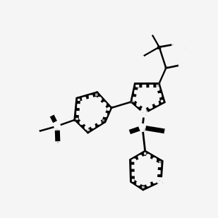 C[C](c1cc(-c2ccc(S(C)(=O)=O)cc2)n(S(=O)(=O)c2cccnc2)c1)C(C)(C)C